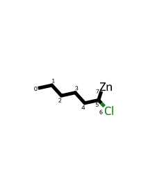 CCCCC[CH](Cl)[Zn]